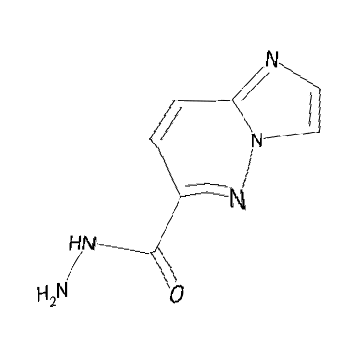 NNC(=O)c1ccc2nccn2n1